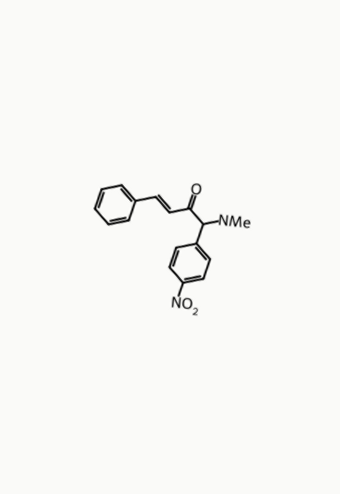 CNC(C(=O)C=Cc1ccccc1)c1ccc([N+](=O)[O-])cc1